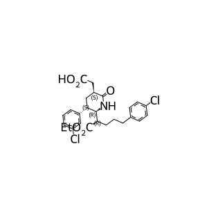 CCOC(=O)[C@H](CCCc1ccc(Cl)cc1)[C@@H]1NC(=O)[C@H](CC(=O)O)C[C@H]1c1cccc(Cl)c1